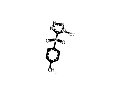 C[CH]n1nnnc1S(=O)(=O)c1ccc(C)cc1